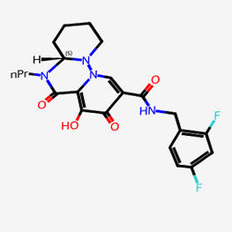 CCCN1C(=O)c2c(O)c(=O)c(C(=O)NCc3ccc(F)cc3F)cn2N2CCCC[C@@H]12